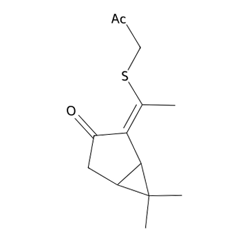 CC(=O)CSC(C)=C1C(=O)CC2C1C2(C)C